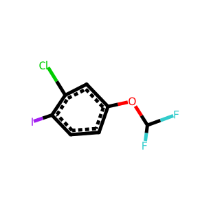 FC(F)Oc1ccc(I)c(Cl)c1